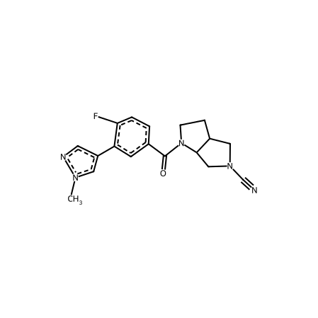 Cn1cc(-c2cc(C(=O)N3CCC4CN(C#N)CC43)ccc2F)cn1